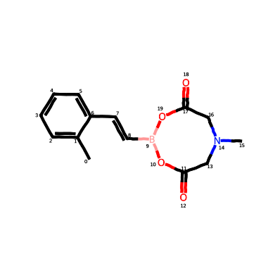 Cc1ccccc1/C=C/B1OC(=O)CN(C)CC(=O)O1